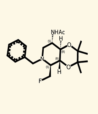 CC(=O)N[C@H]1CN(Cc2ccccc2)[C@H](CF)[C@H]2OC(C)(C)C(C)(C)O[C@@H]21